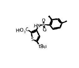 Cc1ccc(S(=O)(=O)Nc2cc(C(C)(C)C)sc2C(=O)O)c(C)c1